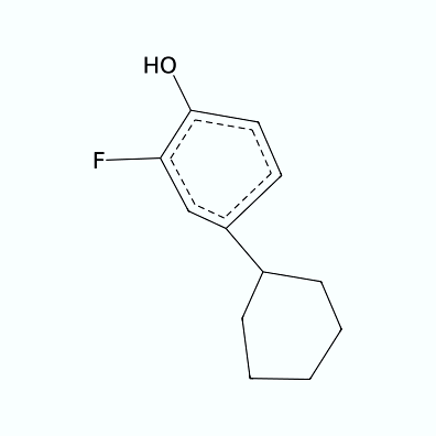 Oc1ccc(C2CCCCC2)cc1F